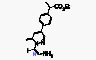 C=C1C=C(c2ccc(C(C)C(=O)OCC)cc2)C=NN1/C(I)=C\N